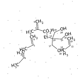 C=C(C)C(=O)O.C=CC.C=CC.C=CC.CCC(CO)(CO)CO